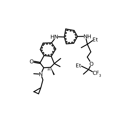 CCC(C)(CCOC(C)(CC)C(F)(F)F)Nc1ccc(Nc2ccc3c(c2)C(C)(C)[C@@H](C)C(N(C)CC2CC2)C3=O)cc1